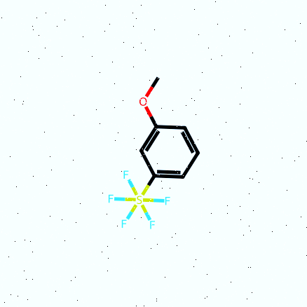 COc1cccc(S(F)(F)(F)(F)F)c1